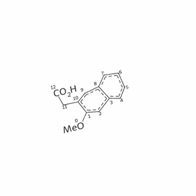 COc1cc2ccccc2cc1CC(=O)O